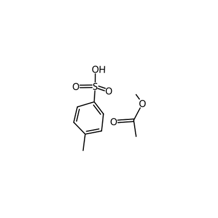 COC(C)=O.Cc1ccc(S(=O)(=O)O)cc1